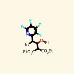 CCOC(=O)C(C(=O)OCC)C(OCC)C(CC)c1nc(F)c(F)c(F)c1F